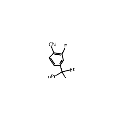 CCCC(C)(CC)c1ccc(C#N)c(F)c1